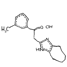 Cc1cccc(C(=O)Cc2nc3c([nH]2)CCCC3)c1.Cl